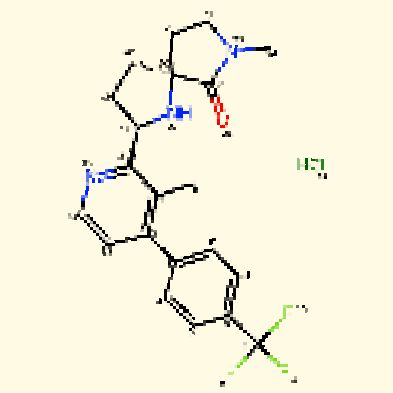 Cc1c(-c2ccc(C(F)(F)F)cc2)ccnc1[C@H]1CC[C@@]2(CCN(C)C2=O)N1.Cl